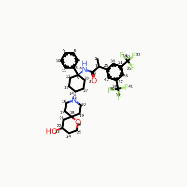 CC(C(=O)N[C@]1(c2ccccc2)CC[C@@H](N2CCC3(CC2)CC(O)CCO3)CC1)c1cc(C(F)(F)F)cc(C(F)(F)F)c1